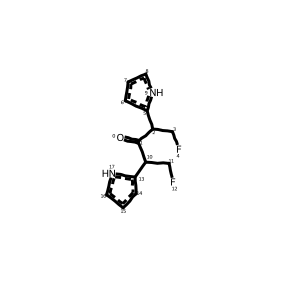 O=C(C(CF)c1ccc[nH]1)C(CF)c1ccc[nH]1